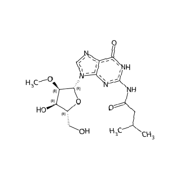 CO[C@@H]1[C@H](O)[C@@H](CO)O[C@H]1n1cnc2c(=O)[nH]c(NC(=O)CC(C)C)nc21